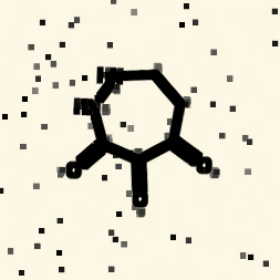 O=C1CCNNC(=O)C1=O